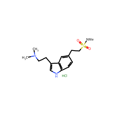 CNS(=O)(=O)CCc1ccc2[nH]cc(CCN(C)C)c2c1.Cl